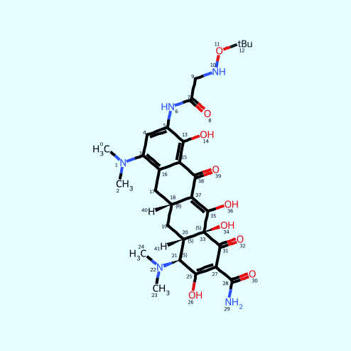 CN(C)c1cc(NC(=O)CNOC(C)(C)C)c(O)c2c1C[C@H]1C[C@H]3[C@H](N(C)C)C(O)=C(C(N)=O)C(=O)[C@@]3(O)C(O)=C1C2=O